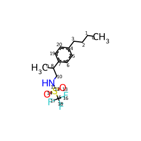 CCCCc1ccc(C(C)CNS(=O)(=O)C(F)(F)F)cc1